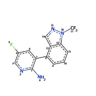 Nc1ncc(F)cc1-c1cccc2c1cnn2C(F)(F)F